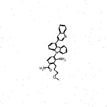 COCCCc1c(C(N)=O)ccc(-n2c3ccccc3c3c(-c4cnc5ccccc5c4)cccc32)c1N